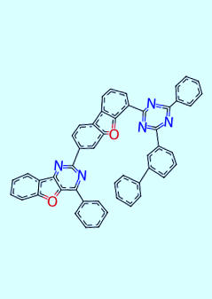 c1ccc(-c2cccc(-c3nc(-c4ccccc4)nc(-c4cccc5c4oc4cc(-c6nc(-c7ccccc7)c7oc8ccccc8c7n6)ccc45)n3)c2)cc1